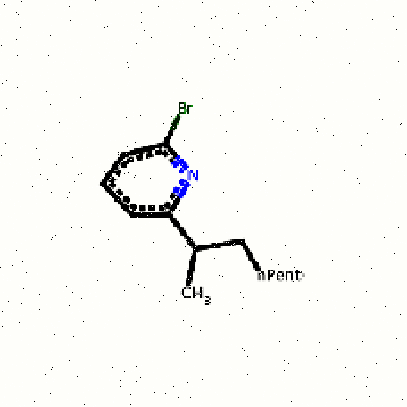 CCCC[CH]CC(C)c1cccc(Br)n1